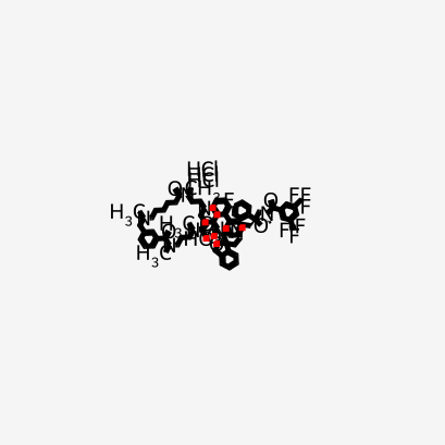 CN(CCCCCC(=O)N(C)CCN1CCC(N(C(=O)O)c2ccccc2-c2ccccc2)CC1)Cc1cccc(C(=O)N(C)CCCN(C)C(=O)CO[C@H]2Cc3ccccc3C23CCN(CC[C@@]2(c4ccc(F)cc4)CN(C(=O)c4cc(C(F)(F)F)cc(C(F)(F)F)c4)CO2)CC3)c1.Cl.Cl.Cl